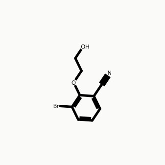 N#Cc1cccc(Br)c1OCCO